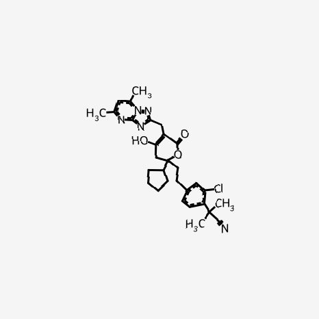 Cc1cc(C)n2nc(CC3=C(O)CC(CCc4ccc(C(C)(C)C#N)c(Cl)c4)(C4CCCC4)OC3=O)nc2n1